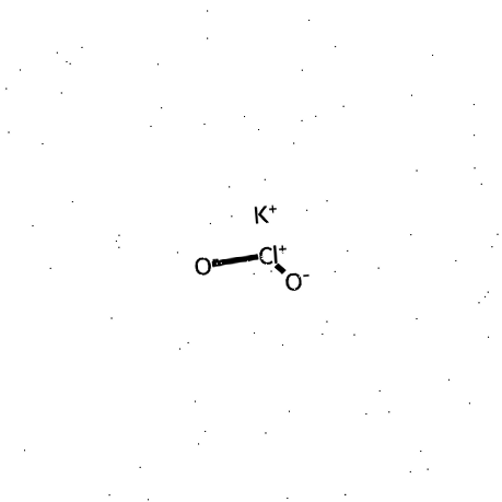 [K+].[O-][Cl+][O-]